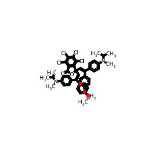 COc1ccc(C(=CC2(C=C(c3ccc(OC)cc3)c3ccc(N(C)C(C)C)cc3)OC(=O)c3c(Cl)c(Cl)c(Cl)c(Cl)c32)c2ccc(N(C)C(C)C)cc2)cc1